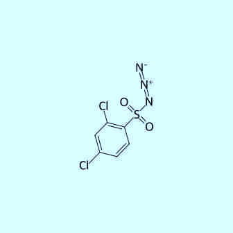 [N-]=[N+]=NS(=O)(=O)c1ccc(Cl)cc1Cl